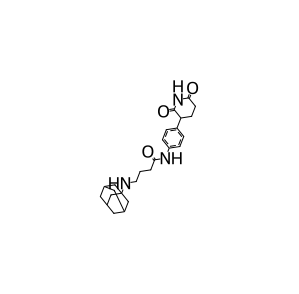 O=C1CCC(c2ccc(NC(=O)CCCNC34CC5CC(CC(C5)C3)C4)cc2)C(=O)N1